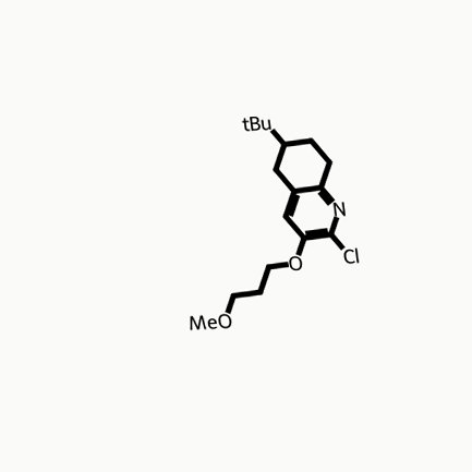 COCCCOc1cc2c(nc1Cl)CCC(C(C)(C)C)C2